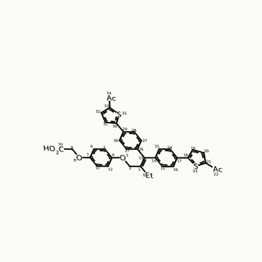 CCC(COc1ccc(OCC(=O)O)cc1)=C(c1ccc(-c2ccc(C(C)=O)s2)cc1)c1ccc(-c2ccc(C(C)=O)s2)cc1